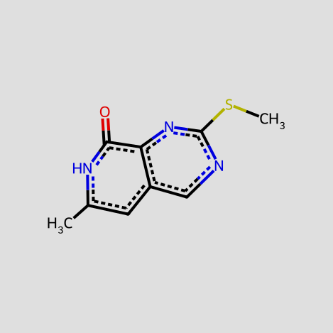 CSc1ncc2cc(C)[nH]c(=O)c2n1